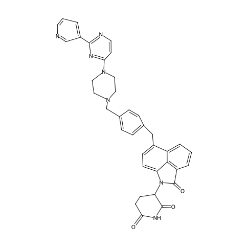 O=C1CCC(N2C(=O)c3cccc4c(Cc5ccc(CN6CCN(c7ccnc(-c8cccnc8)n7)CC6)cc5)ccc2c34)C(=O)N1